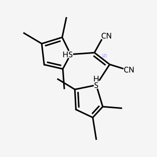 CC1=CC(C)=C(C)[SH]1/C(C#N)=C(/C#N)[SH]1C(C)=CC(C)=C1C